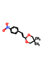 CC1(C)COC(C=Cc2ccc([N+](=O)[O-])cc2)OC1